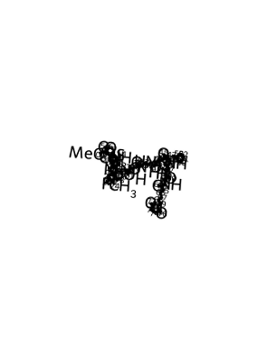 COC[C@@]1(C)C(=O)OCc2c1cc1n(c2=S)Cc2c-1nc1cc(F)c(C)c3c1c2[C@H](NC(=O)COC(=O)NCCNC(=O)CNC(=O)[C@H](Cc1ccccc1)NC(=O)CNC(=O)CNC(=O)CCCCCN1C(=O)C=CC1=O)CC3